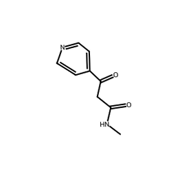 CNC(=O)CC(=O)c1ccncc1